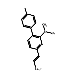 CC(C)N(C)c1nc(/C=C/C(=O)O)ccc1-c1ccc(F)cc1